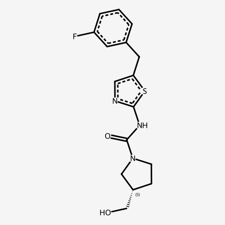 O=C(Nc1ncc(Cc2cccc(F)c2)s1)N1CC[C@H](CO)C1